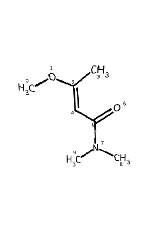 COC(C)=CC(=O)N(C)C